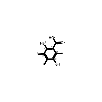 Cc1c(C)c(S)c(C(=O)O)c(C)c1S